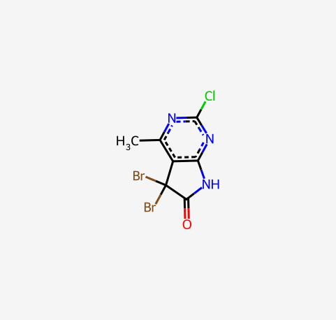 Cc1nc(Cl)nc2c1C(Br)(Br)C(=O)N2